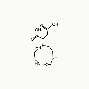 O=C(O)CC(C(=O)O)N1CCNCCNCCN1